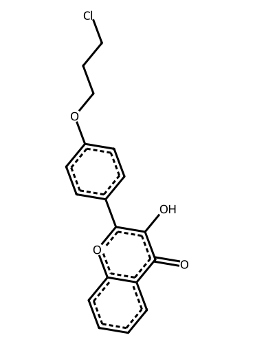 O=c1c(O)c(-c2ccc(OCCCCl)cc2)oc2ccccc12